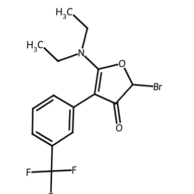 CCN(CC)C1=C(c2cccc(C(F)(F)F)c2)C(=O)C(Br)O1